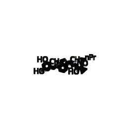 C=C1/C(=C\C=C2/CCC[C@]3(C)[C@@H]([C@H](C)/C=C/[C@H](O)C4(c5ncc(CCC)o5)CC4)CC[C@@H]23)C[C@@H](O)C[C@@H]1O